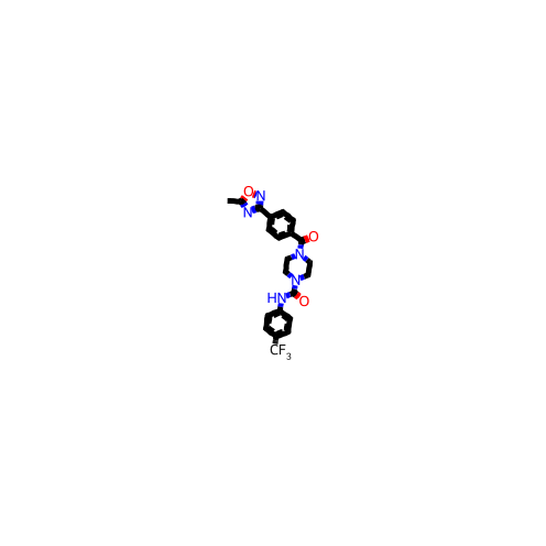 Cc1nc(-c2ccc(C(=O)N3CCN(C(=O)Nc4ccc(C(F)(F)F)cc4)CC3)cc2)no1